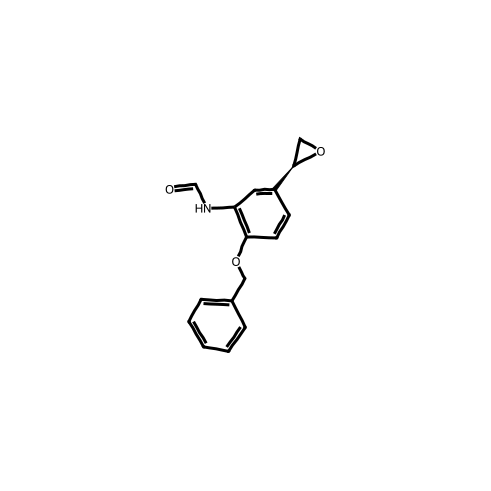 O=CNc1cc([C@H]2CO2)ccc1OCc1ccccc1